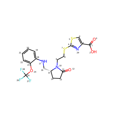 O=C(O)c1csc(SCCN2C(=O)CC[C@@H]2CNc2ccccc2OC(F)(F)F)n1